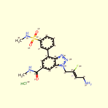 CNC(=O)c1cc(-c2cccc(S(=O)(=O)NC)c2)c2nnn(C/C(F)=C/CN)c2c1.Cl